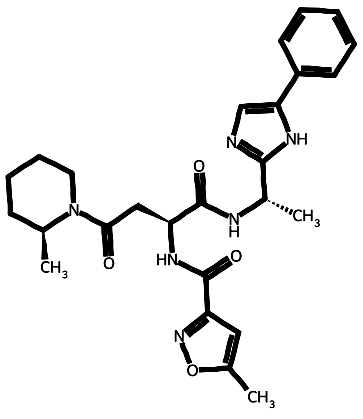 Cc1cc(C(=O)N[C@@H](CC(=O)N2CCCC[C@@H]2C)C(=O)N[C@@H](C)c2ncc(-c3ccccc3)[nH]2)no1